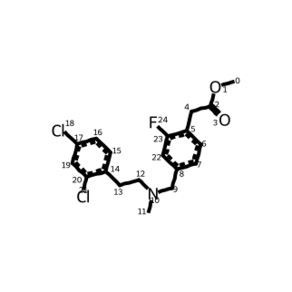 COC(=O)Cc1ccc(CN(C)CCc2ccc(Cl)cc2Cl)cc1F